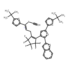 C#CS/C(=C\CC1=C(c2cc(-c3ccc(C(C)(C)C)s3)sc2-c2cc3ccccc3s2)C(F)(F)C(F)(F)C1(F)F)c1ccc(C(C)(C)C)s1